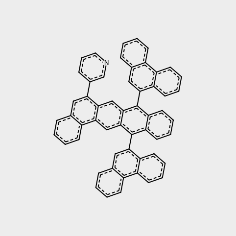 c1cncc(-c2cc3ccccc3c3cc4c(-c5cc6ccccc6c6ccccc56)c5ccccc5c(-c5cc6ccccc6c6ccccc56)c4cc23)c1